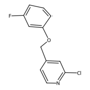 Fc1cc[c]c(OCc2ccnc(Cl)c2)c1